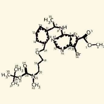 COC(=O)c1sc2c(NC(C)c3cccc(COCCCN(C)C(=O)OC(C)(C)C)c3)ncnc2c1Br